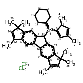 CC1=CC(C)[C]([Zr+2](=[C]2CCCCC2)[CH]2c3cc4c(cc3-c3cc5c(cc32)C(C)(C)C=C5C)C(C)=CC4(C)C)=C1.[Cl-].[Cl-]